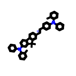 Cc1ccccc1N(c1ccccc1)c1ccc(/C=C/c2ccc3c(c2)C(C)(C)c2cc(N(c4ccccc4)c4ccccc4C)ccc2-3)cc1